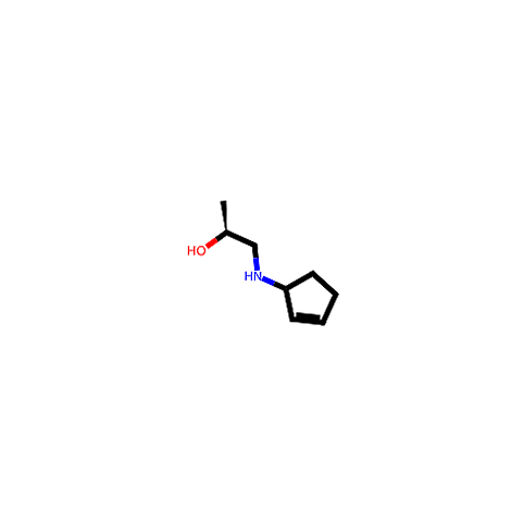 C[C@H](O)CNC1C=CCC1